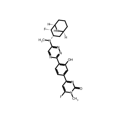 CN(c1cnc(-c2ccc(-c3cc(F)n(C)c(=O)n3)cc2O)nn1)[C@H]1C[C@@H]2CCC[C@@H](N2)[C@H]1F